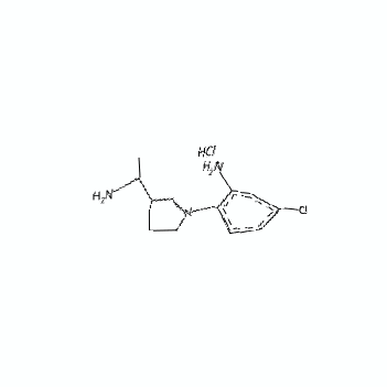 CC(N)C1CCN(c2ccc(Cl)cc2N)C1.Cl